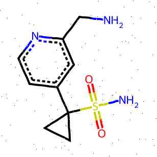 NCc1cc(C2(S(N)(=O)=O)CC2)ccn1